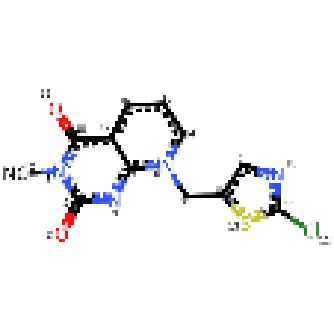 N#Cn1c(=O)nc2n(Cc3cnc(Cl)s3)cccc-2c1=O